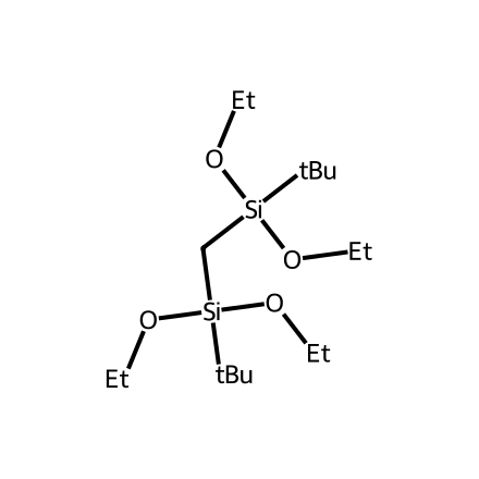 CCO[Si](C[Si](OCC)(OCC)C(C)(C)C)(OCC)C(C)(C)C